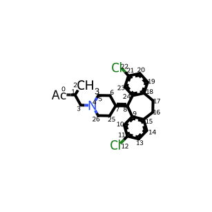 CC(=O)C(C)CN1CCC(=C2c3cc(Cl)ccc3CCc3ccc(Cl)cc32)CC1